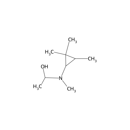 CC(O)N(C)C1C(C)C1(C)C